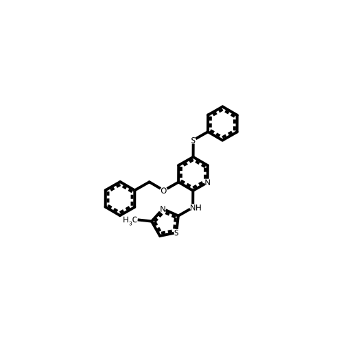 Cc1csc(Nc2ncc(Sc3ccccc3)cc2OCc2ccccc2)n1